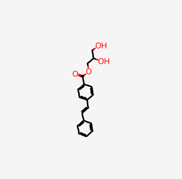 O=C(OCC(O)CO)c1ccc(/C=C/c2ccccc2)cc1